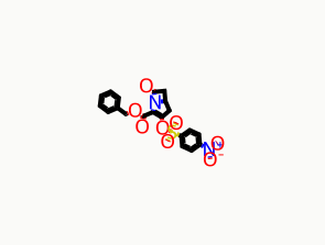 O=C(OCc1ccccc1)C1=C(OS(=O)(=O)c2ccc([N+](=O)[O-])cc2)CC2CC(=O)N12